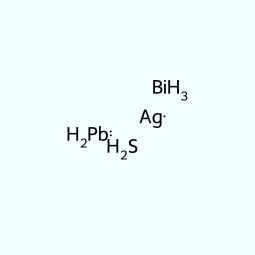 S.[Ag].[BiH3].[PbH2]